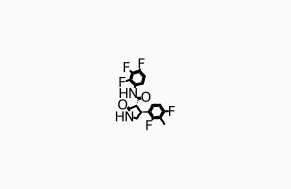 Cc1c(F)ccc([C@H]2CNC(=O)[C@@H]2C(=O)Nc2ccc(F)c(F)c2F)c1F